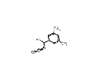 CCC(N=C=O)c1cc(C)cc(C)c1